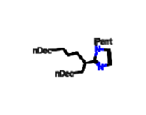 CCCCCCCCCCCCCC(CCCCCCCCCCC)c1nccn1C(C)CCC